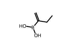 C=C(CC)B(O)O